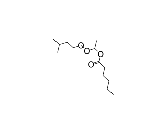 CCCCCC(=O)OC(C)OOCCC(C)C